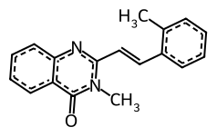 Cc1ccccc1C=Cc1nc2ccccc2c(=O)n1C